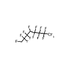 FCC(F)(F)C(F)(F)C(F)C(F)(F)C(F)(F)C(F)(F)C(F)(F)F